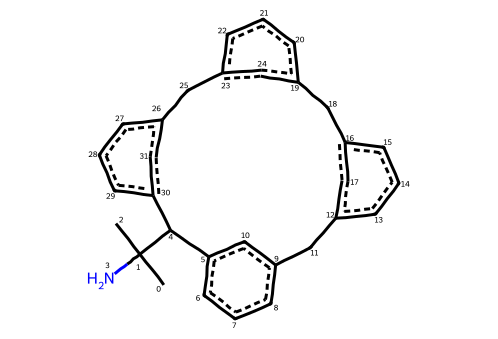 CC(C)(N)C1c2cccc(c2)Cc2cccc(c2)Cc2cccc(c2)Cc2cccc1c2